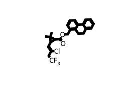 CC1(C)C(C=C(Cl)CC(F)(F)F)C1C(=O)OCc1cccc2c1CCc1ccccc1-2